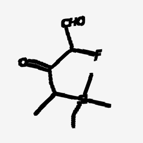 CC(C(=O)C(F)C=O)[Si](C)(C)C